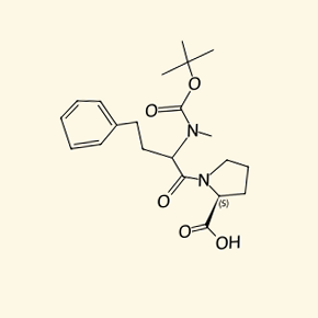 CN(C(=O)OC(C)(C)C)C(CCc1ccccc1)C(=O)N1CCC[C@H]1C(=O)O